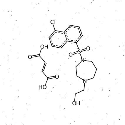 O=C(O)/C=C/C(=O)O.O=S(=O)(c1cccc2c(Cl)cccc12)N1CCCN(CCO)CC1